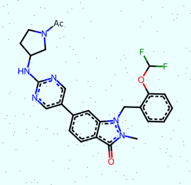 CC(=O)N1CCC(Nc2ncc(-c3ccc4c(=O)n(C)n(Cc5ccccc5OC(F)F)c4c3)cn2)C1